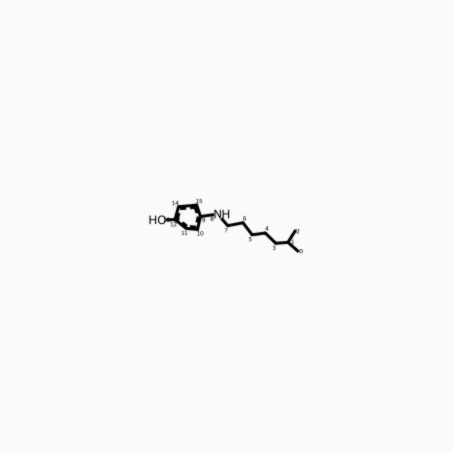 CC(C)CCCCCNc1ccc(O)cc1